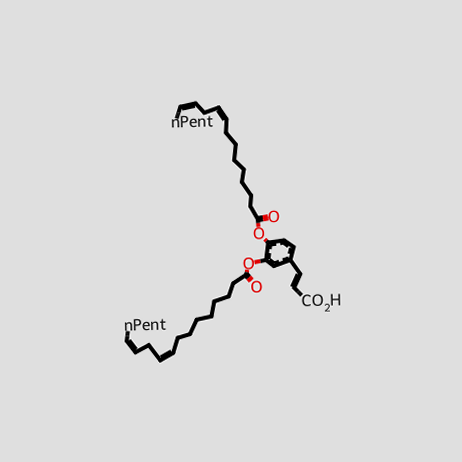 CCCCC/C=C\C/C=C\CCCCCCCC(=O)Oc1ccc(/C=C/C(=O)O)cc1OC(=O)CCCCCCC/C=C\C/C=C\CCCCC